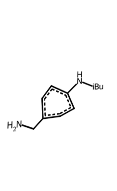 CCC(C)Nc1ccc(CN)cc1